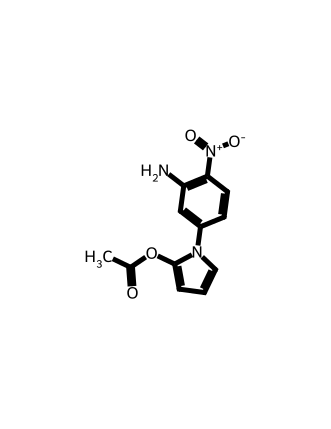 CC(=O)Oc1cccn1-c1ccc([N+](=O)[O-])c(N)c1